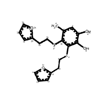 Cc1cc(O)c(O)c(SCCc2ccco2)c1SCCc1ccco1